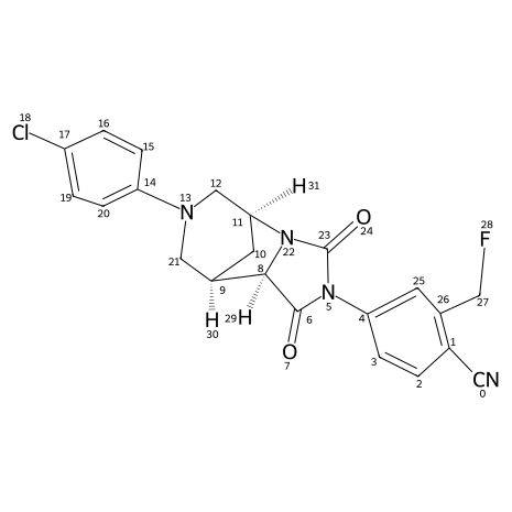 N#Cc1ccc(N2C(=O)[C@H]3[C@@H]4C[C@@H](CN(c5ccc(Cl)cc5)C4)N3C2=O)cc1CF